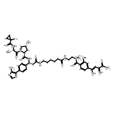 Cc1ncsc1-c1ccc([C@H](CC(=O)NCCCCCC(=O)NCCN(C)C(=O)c2ccc(/C(O)=C/C(=N)C(N)=O)cc2O)NC(=O)[C@@H]2C[C@@H](O)CN2C(=O)[C@@H](NC(=O)C2(F)CC2)C(C)(C)C)cc1